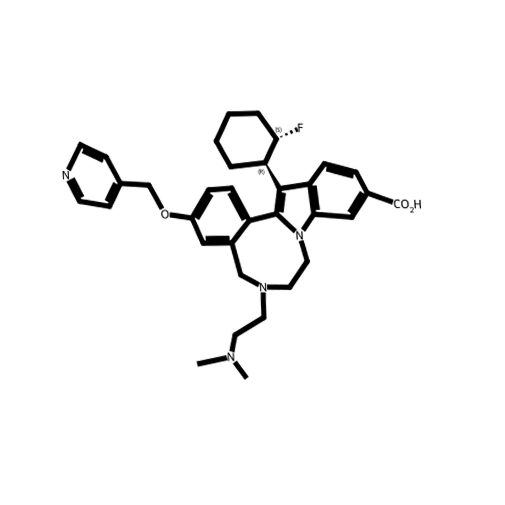 CN(C)CCN1CCn2c(c([C@H]3CCCC[C@@H]3F)c3ccc(C(=O)O)cc32)-c2ccc(OCc3ccncc3)cc2C1